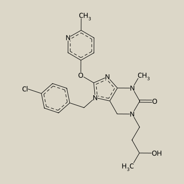 Cc1ccc(Oc2nc3c(n2Cc2ccc(Cl)cc2)CN(CCC(C)O)C(=O)N3C)cn1